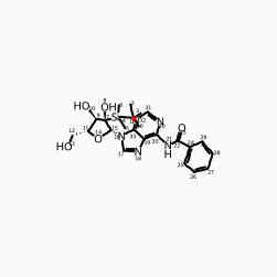 CC(C)(C)[Si](C)(C)[C@@]1(O)[C@H](O)[C@@H](CO)O[C@H]1n1cnc2c(NC(=O)c3ccccc3)ncnc21